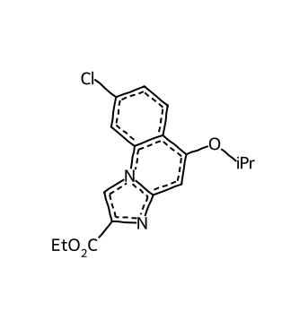 CCOC(=O)c1cn2c(cc(OC(C)C)c3ccc(Cl)cc32)n1